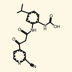 CC(C)c1ccc(NC(=O)O)c(NC(=O)CC(=O)c2ccnc(C#N)c2)c1